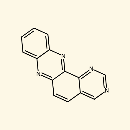 c1ccc2nc3c(ccc4cncnc43)nc2c1